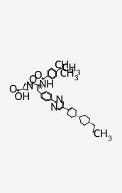 CCC[C@H]1CC[C@H](C2CC=C(c3cnc(-c4ccc(C[C@H](NC(=O)c5ccc(C(C)(C)C)cc5)C(=O)N5CC(C(=O)O)C5)cc4)nc3)CC2)CC1